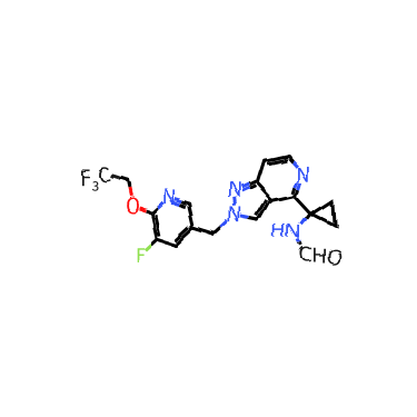 O=CNC1(c2nccc3nn(Cc4cnc(OCC(F)(F)F)c(F)c4)cc23)CC1